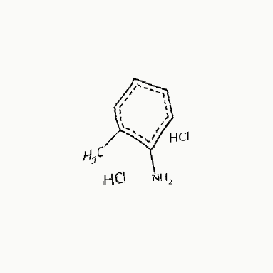 Cc1ccccc1N.Cl.Cl